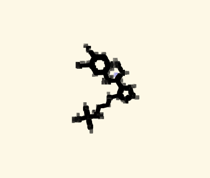 O=S(=O)(O)NCCOc1nonc1/C(=N/O)Nc1ccc(F)c(Br)c1